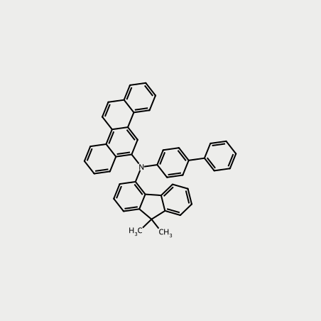 CC1(C)c2ccccc2-c2c(N(c3ccc(-c4ccccc4)cc3)c3cc4c5ccccc5ccc4c4ccccc34)cccc21